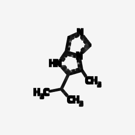 Cc1c(C(C)C)[nH]c2cncn12